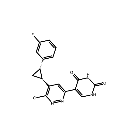 O=c1[nH]cc(-c2cc([C@H]3C[C@@H]3c3cccc(F)c3)c(Cl)nn2)c(=O)[nH]1